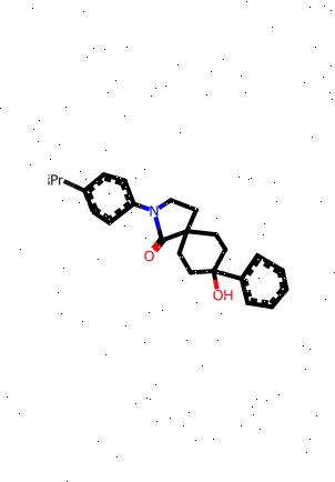 CC(C)c1ccc(N2CCC3(CCC(O)(c4ccccc4)CC3)C2=O)cc1